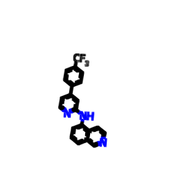 FC(F)(F)c1ccc(-c2ccnc(Nc3cccc4cnccc34)c2)cc1